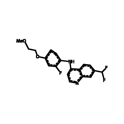 COCCOc1ccc(Nc2ccnc3cc(C(F)F)ccc23)c(F)c1